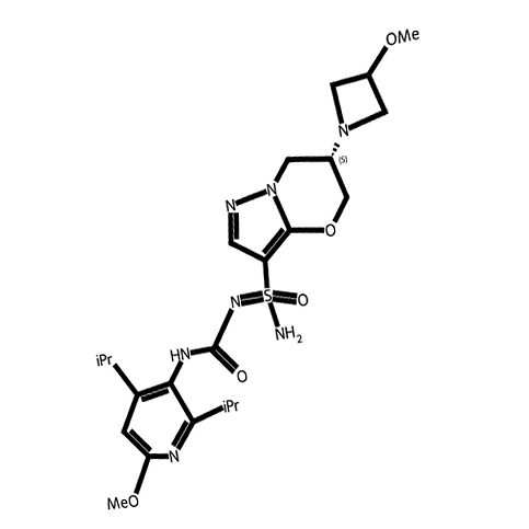 COc1cc(C(C)C)c(NC(=O)N=S(N)(=O)c2cnn3c2OC[C@@H](N2CC(OC)C2)C3)c(C(C)C)n1